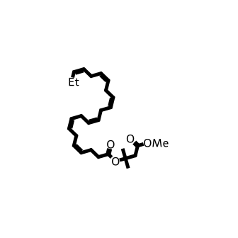 CC/C=C\C/C=C\C/C=C\C/C=C\C/C=C\C/C=C\CCC(=O)OC(C)(C)CC(=O)OC